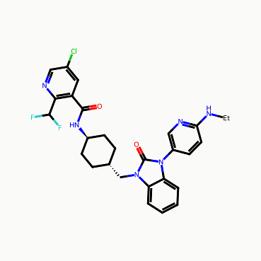 CCNc1ccc(-n2c(=O)n(C[C@H]3CC[C@H](NC(=O)c4cc(Cl)cnc4C(F)F)CC3)c3ccccc32)cn1